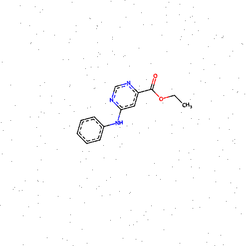 CCOC(=O)c1cc(Nc2ccccc2)ncn1